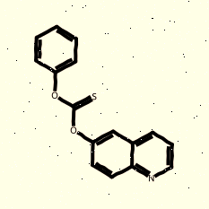 S=C(Oc1ccccc1)Oc1ccc2ncccc2c1